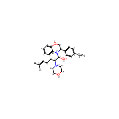 COc1ccc(C2COc3ccccc3N2C(O)C(CCC=C(C)C)N2CCOCC2)cc1